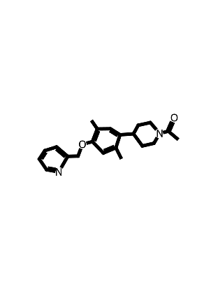 CC(=O)N1CCC(c2cc(C)c(OCc3ccccn3)cc2C)CC1